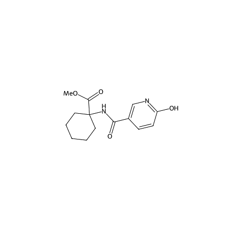 COC(=O)C1(NC(=O)c2ccc(O)nc2)CCCCC1